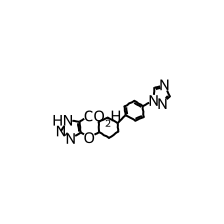 O=C(O)c1[nH]nnc1OC1CCC(c2ccc(-n3cncn3)cc2)CC1